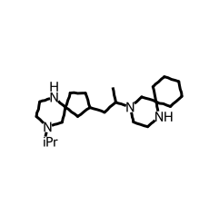 CC(C)N1CCNC2(CCC(CC(C)N3CCNC4(CCCCC4)C3)C2)C1